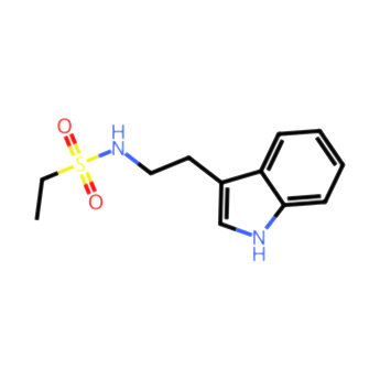 CCS(=O)(=O)NCCc1c[nH]c2ccccc12